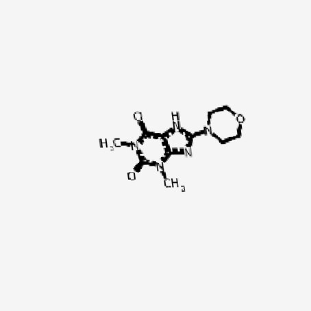 Cn1c(=O)c2[nH]c(N3CCOCC3)nc2n(C)c1=O